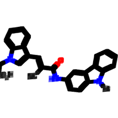 CCn1c2ccccc2c2cc(NC(=O)/C(C#N)=C/c3cn(CC(=O)O)c4ccccc34)ccc21